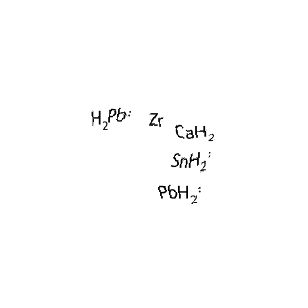 [CaH2].[PbH2].[PbH2].[SnH2].[Zr]